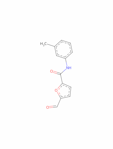 Cc1cccc(NC(=O)c2ccc(C=O)o2)c1